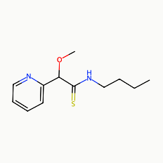 CCCCNC(=S)C(OC)c1ccccn1